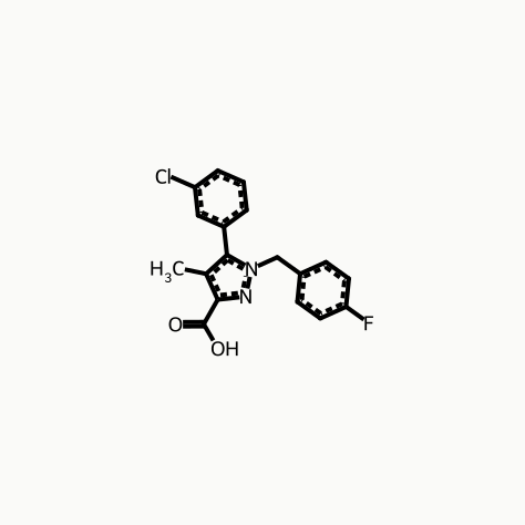 Cc1c(C(=O)O)nn(Cc2ccc(F)cc2)c1-c1cccc(Cl)c1